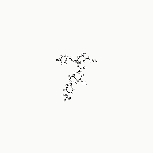 CCCc1cn(CC(=O)N(CCC)Cc2ccc(-c3ccc(C(F)(F)F)cc3)cc2)c(SCc2ccc(F)cc2)nc1=O